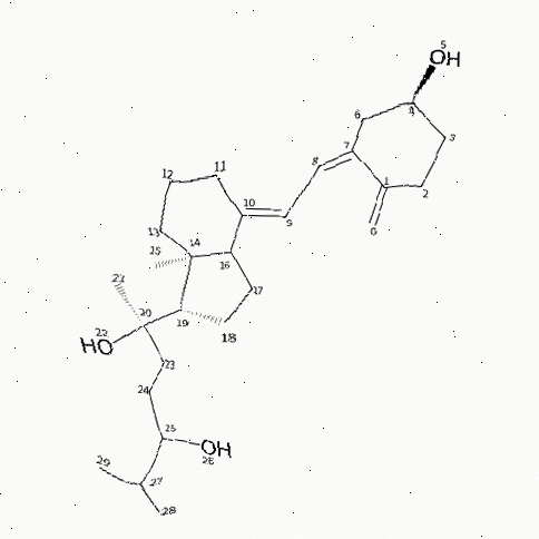 C=C1CC[C@H](O)C/C1=C/C=C1CCC[C@@]2(C)C1CC[C@@H]2[C@](C)(O)CCC(O)C(C)C